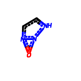 c1cn2on2[nH]1